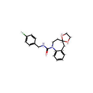 O=C(NCc1ccc(F)cc1)N1CCC2(Cc3ccccc31)OCCO2